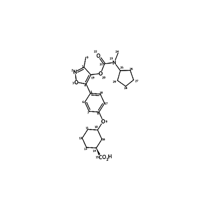 Cc1noc(-c2ccc(OC3CCC[C@H](C(=O)O)C3)cc2)c1OC(=O)N(C)C1CCCC1